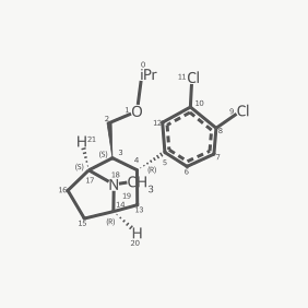 CC(C)OC[C@H]1[C@H](c2ccc(Cl)c(Cl)c2)C[C@H]2CC[C@@H]1N2C